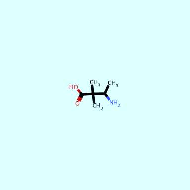 CC(N)C(C)(C)C(=O)O